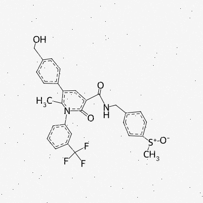 Cc1c(-c2ccc(CO)cc2)cc(C(=O)NCc2ccc([S+](C)[O-])cc2)c(=O)n1-c1cccc(C(F)(F)F)c1